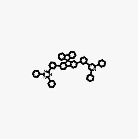 c1ccc(-c2cc(-c3cccc(-c4ccc5c(c4)C4(c6ccccc6-c6ccccc64)c4cc(-c6cccc(-c7nc(-c8ccccc8)nc(-c8ccccc8)n7)c6)ccc4-5)c3)cc(-c3ccccc3)n2)cc1